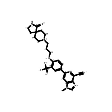 Cn1cnc2c(C#N)nc(-c3ccc(OCCCN4CCC5(CCNC5=O)CC4)c(C(F)(F)F)c3)cc21